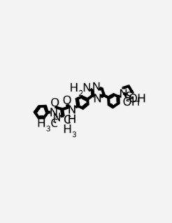 Cc1c(C(=O)Nc2ccc(-c3nc(-c4cccc(N5CCCS5(O)O)c4)cnc3N)cc2)c(=O)n(-c2ccccc2)n1C